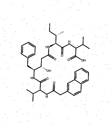 CC[C@H](C)[C@H](NC(=O)C[C@H](O)[C@H](Cc1ccccc1)NC(=O)C(NC(=O)Cc1ccc2ccccc2c1)C(C)C)C(=O)NC(C(=O)O)C(C)C